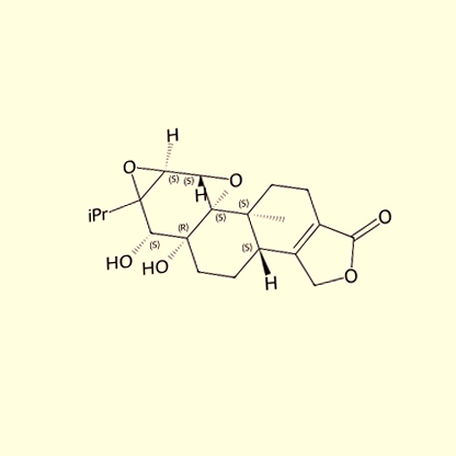 CC(C)C12O[C@H]1[C@@H]1O[C@@]13[C@@]1(C)CCC4=C(COC4=O)[C@@H]1CC[C@@]3(O)[C@@H]2O